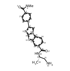 CNC(=O)c1ccc(-c2cn3c(n2)sc2cc(C(=O)N[C@@H](C)CN)ccc23)cc1